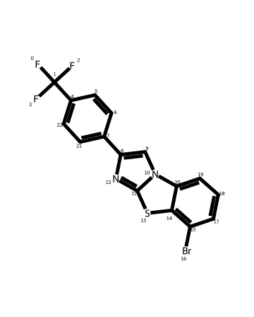 FC(F)(F)c1ccc(-c2cn3c(n2)sc2c(Br)cccc23)cc1